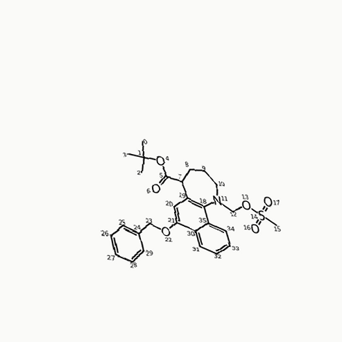 CC(C)(C)OC(=O)C1CCCN(COS(C)(=O)=O)c2c1cc(OCc1ccccc1)c1ccccc21